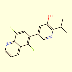 CC(C)c1ncc(-c2cc(F)c3ncccc3c2F)cc1O